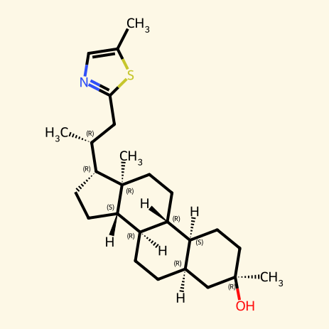 Cc1cnc(C[C@@H](C)[C@H]2CC[C@H]3[C@@H]4CC[C@@H]5C[C@](C)(O)CC[C@@H]5[C@H]4CC[C@]23C)s1